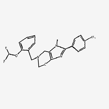 Cn1c(-c2ccc(C(F)(F)F)cc2)nc2c1CN(Cc1ccccc1OC(F)F)CC2